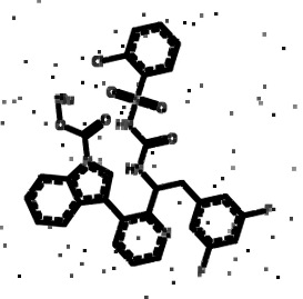 CC(C)(C)OC(=O)n1cc(-c2cccnc2C(Cc2cc(F)cc(F)c2)NC(=O)NS(=O)(=O)c2ccccc2Cl)c2ccccc21